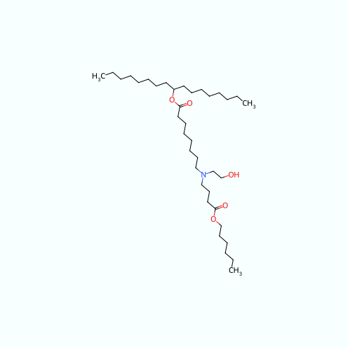 CCCCCCCCC(CCCCCCCC)OC(=O)CCCCCCCN(CCO)CCCC(=O)OCCCCCC